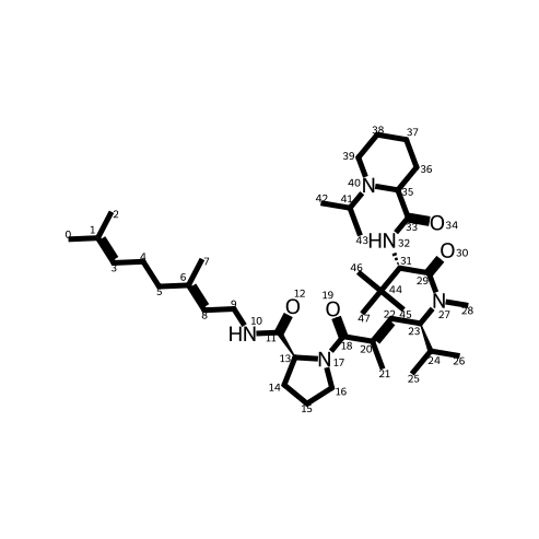 CC(C)=CCC/C(C)=C/CNC(=O)[C@@H]1CCCN1C(=O)/C(C)=C/[C@H](C(C)C)N(C)C(=O)[C@@H](NC(=O)C1CCCCN1C(C)C)C(C)(C)C